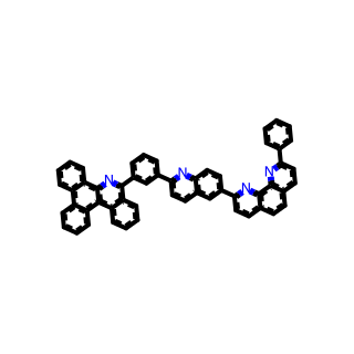 c1ccc(-c2ccc3ccc4ccc(-c5ccc6nc(-c7cccc(-c8nc9c%10ccccc%10c%10ccccc%10c9c9ccccc89)c7)ccc6c5)nc4c3n2)cc1